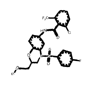 CCOCC1CN(S(=O)(=O)c2ccc(F)cc2)c2cc(NC(=O)c3c(Cl)cccc3C(F)(F)F)ccc2O1